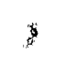 CN1CCN(C2C3CC4CC2CC(C(N)=O)(C4)C3)CC1